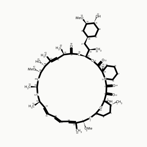 CO[C@H]1CC2CC[C@@H](C)[C@@](O)(O2)C(=O)C(=O)N2CCCC[C@H]2C(=O)O[C@H]([C@H](C)C[C@@H]2CC[C@@H](O)[C@H](OC)C2)CC(=O)[C@H](C)/C=C(\C)[C@@H](O)[C@@H](OC)C[C@H](C)C[C@H](C)/C=C/C=C/C=C/1C